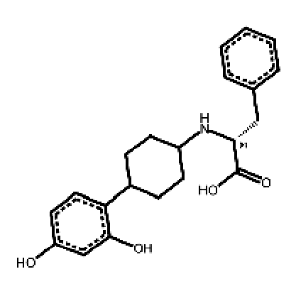 O=C(O)[C@@H](Cc1ccccc1)NC1CCC(c2ccc(O)cc2O)CC1